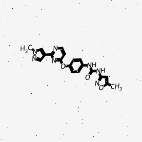 Cc1cc(NC(=O)Nc2ccc(Oc3ccnc(-c4cnn(C)c4)n3)cc2)no1